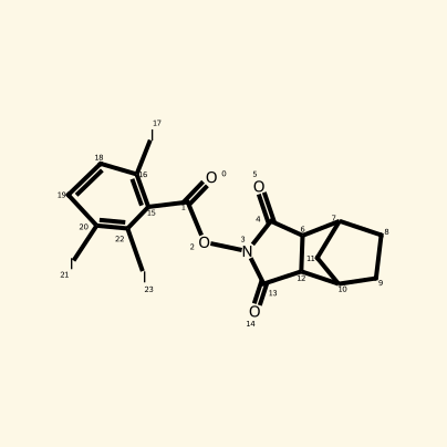 O=C(ON1C(=O)C2C3CCC(C3)C2C1=O)c1c(I)ccc(I)c1I